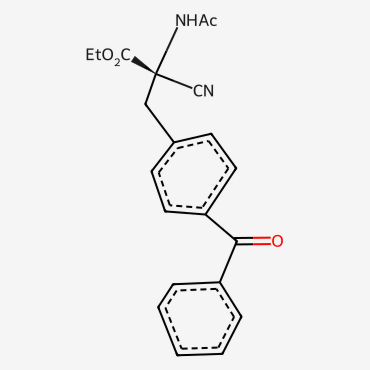 CCOC(=O)[C@@](C#N)(Cc1ccc(C(=O)c2ccccc2)cc1)NC(C)=O